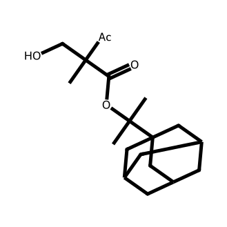 CC(=O)C(C)(CO)C(=O)OC(C)(C)C12CC3CC(CC(C3)C1)C2